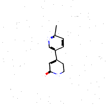 Cc1ccc(C2=CC(=O)NCC2)cn1